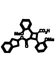 COc1ccccc1C1C(C(=O)OC2Cc3ccccc3C2)[C@H](c2ccccc2OC)[C@H]1C(=O)O